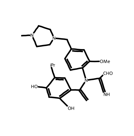 C=C(c1cc(C(C)C)c(O)cc1O)N(C(=N)C=O)c1ccc(CN2CCN(C)CC2)cc1OC